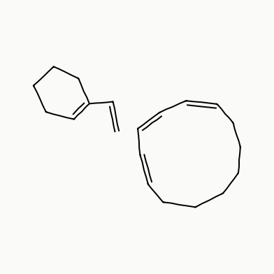 C1=CC=CCCCCCCC=C1.C=CC1=CCCCC1